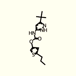 CCCc1cc(OC(=O)Nc2cc(C(C)(C)C)n[nH]2)cs1